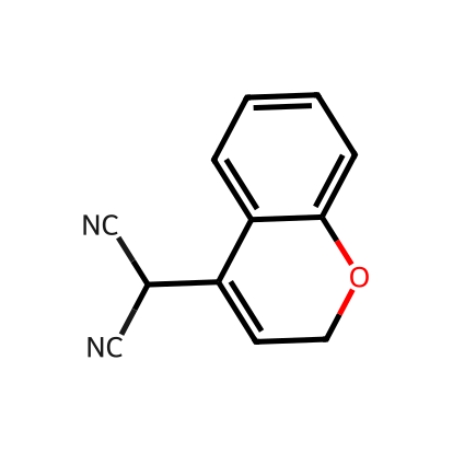 N#CC(C#N)C1=CCOc2ccccc21